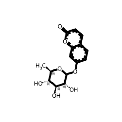 C[C@H]1OC(Oc2ccc3ccc(=O)oc3c2)[C@H](O)[C@@H](O)[C@@H]1O